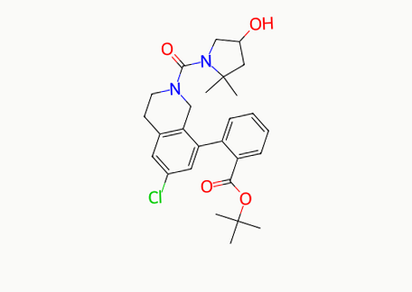 CC(C)(C)OC(=O)c1ccccc1-c1cc(Cl)cc2c1CN(C(=O)N1CC(O)CC1(C)C)CC2